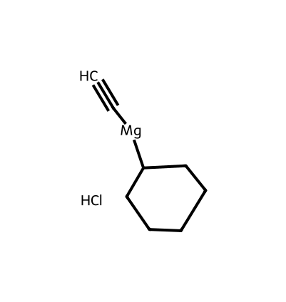 C#[C][Mg][CH]1CCCCC1.Cl